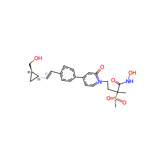 CC(CCn1ccc(-c2ccc(/C=C/[C@@H]3C[C@H]3CO)cc2)cc1=O)(C(=O)NO)S(C)(=O)=O